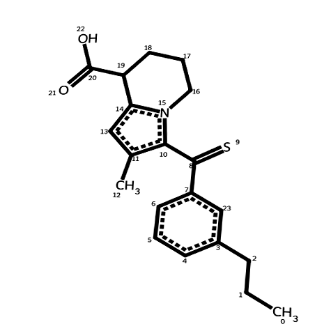 CCCc1cccc(C(=S)c2c(C)cc3n2CCCC3C(=O)O)c1